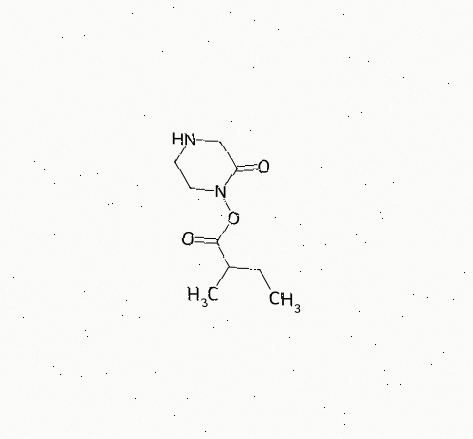 CCC(C)C(=O)ON1CCNCC1=O